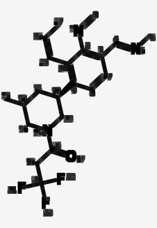 C=Nc1c(/C=N/C)ccc([C@@H]2CC(C)CN(C(=O)CC(F)(F)F)C2)c1/C=C\C